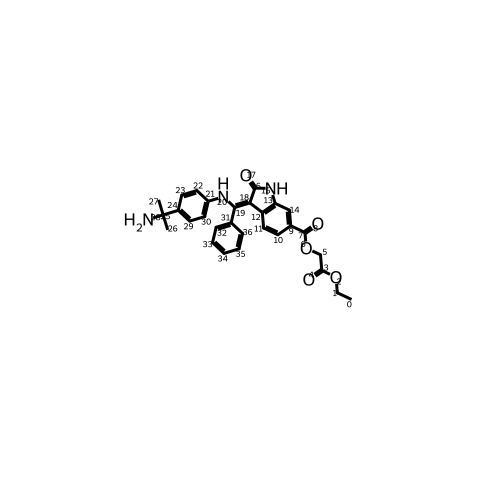 CCOC(=O)COC(=O)c1ccc2c(c1)NC(=O)/C2=C(\Nc1ccc(C(C)(C)N)cc1)c1ccccc1